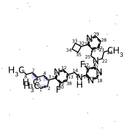 C\C=C/C(=C\C(C)=C\CC)c1ncc(CNc2ncnc(N(CCC)Cc3cccnc3C3CCC3)c2F)cc1F